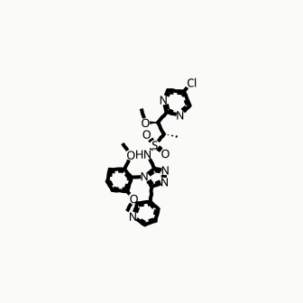 COc1cccc(OC)c1-n1c(NS(=O)(=O)[C@@H](C)[C@@H](OC)c2ncc(Cl)cn2)nnc1-c1cccnc1